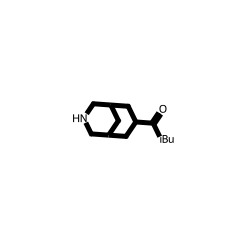 CCC(C)C(=O)C1CC2CNCC(C2)C1